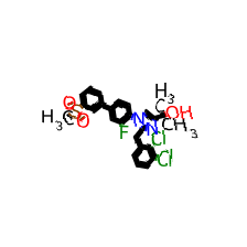 CC(C)(O)c1cn(-c2ccc(-c3cccc(S(C)(=O)=O)c3)cc2F)c(Cc2cccc(Cl)c2Cl)n1